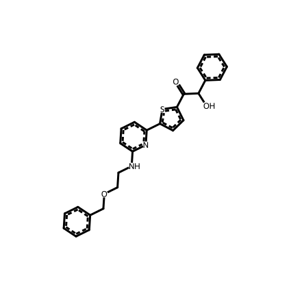 O=C(c1ccc(-c2cccc(NCCOCc3ccccc3)n2)s1)C(O)c1ccccc1